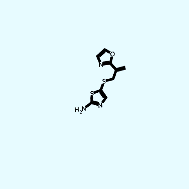 C=C(CSc1cnc(N)s1)c1ncco1